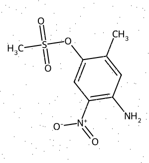 Cc1cc(N)c([N+](=O)[O-])cc1OS(C)(=O)=O